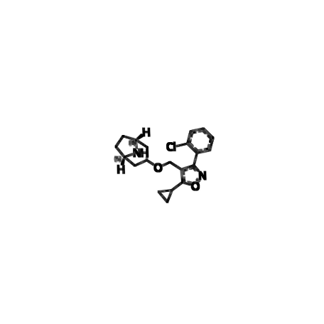 Clc1ccccc1-c1noc(C2CC2)c1COC1C[C@H]2CC[C@@H](C1)N2